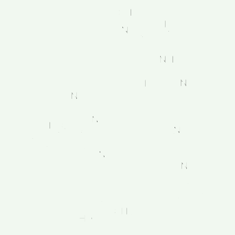 C=C1C(Nc2ccc(N3CCN(C4CCC4)CC3)cn2)=CC(c2ccnc(N3CCN4C(=C(CC5CC5)C5CC(C)(C)CC54)C3=C)c2CC)=CN1C